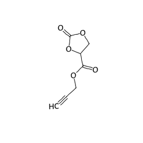 C#CCOC(=O)C1COC(=O)O1